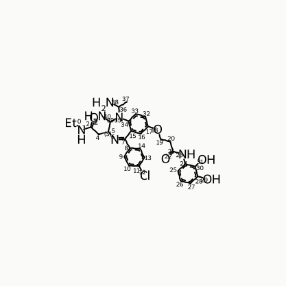 CCNC(=O)C[C@@H]1N=C(c2ccc(Cl)cc2)c2cc(OCCC(=O)Nc3cccc(O)c3O)ccc2N(C(C)N)C1N